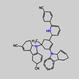 CC1(N2C3=C(CC(C#N)C=C3)C3C=C(C#N)CCC32)CC(N2c3ccccc3C3CCC=CC32)=CC(C2C=CC=C(C3C=CC(C#N)=CC3)N2)C1